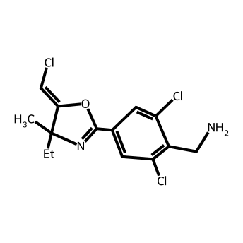 CCC1(C)N=C(c2cc(Cl)c(CN)c(Cl)c2)OC1=CCl